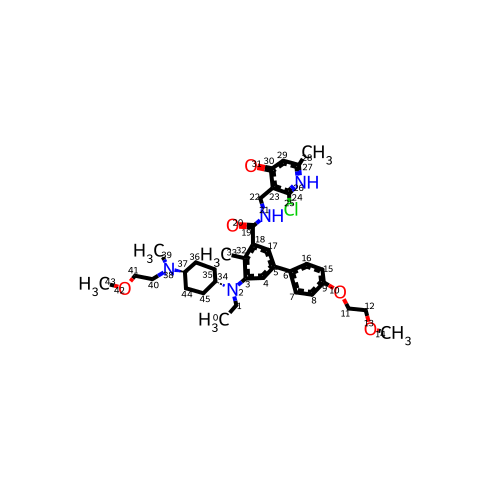 CCN(c1cc(-c2ccc(OCCOC)cc2)cc(C(=O)NCc2c(Cl)[nH]c(C)cc2=O)c1C)[C@H]1CC[C@H](N(C)CCOC)CC1